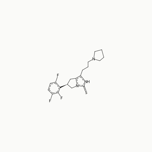 Fc1ccc(F)c([C@H]2Cc3c(CCCN4CCCC4)[nH]c(=S)n3C2)c1F